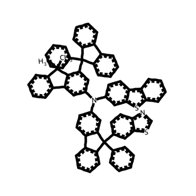 CC1(C)c2ccccc2-c2cc(N(c3ccc4c(c3)C(c3ccccc3)(c3ccc5ncsc5c3)c3ccccc3-4)c3ccc4c(c3)sc3ccccc34)cc(C3(c4ccccc4)c4ccccc4-c4ccccc43)c21